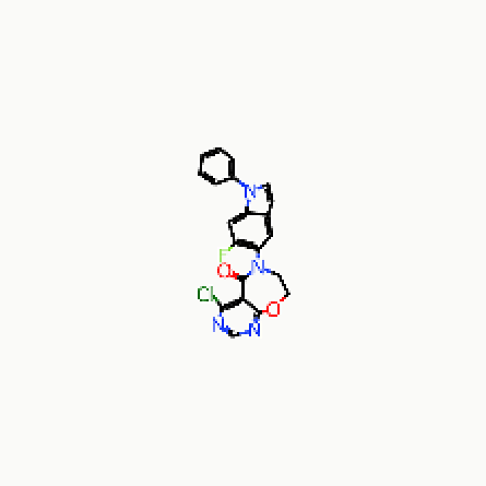 O=C1c2c(Cl)ncnc2OCCN1c1cc2ccn(-c3ccccc3)c2cc1F